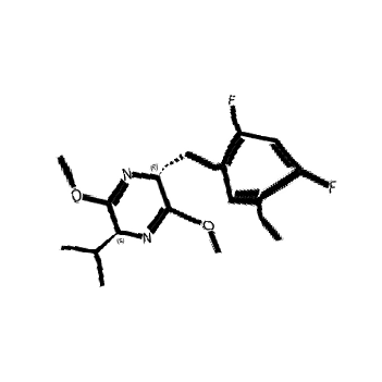 COC1=N[C@H](Cc2cc(C)c(F)cc2F)C(OC)=N[C@H]1C(C)C